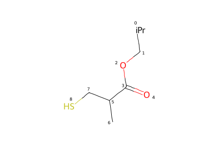 CC(C)COC(=O)C(C)CS